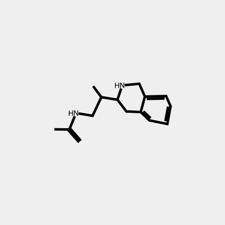 C=C(C)NCC(C)C1Cc2ccccc2CN1